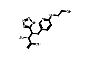 C=C(O)[C@H]([C@H](Cc1ccc(NCCO)nc1)c1nnn[nH]1)C(C)(C)C